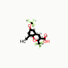 C#Cc1cc(OC(F)(F)F)cc2c1OC(C(F)(F)F)C(C(=O)O)=C2